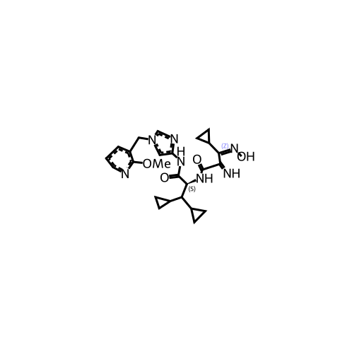 COc1ncccc1Cn1cnc(NC(=O)[C@@H](NC(=O)C(=N)/C(=N\O)C2CC2)C(C2CC2)C2CC2)c1